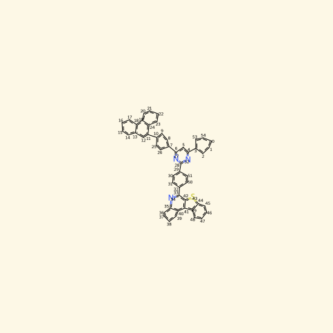 c1ccc(-c2cc(-c3ccc(-c4cc5ccccc5c5ccccc45)cc3)nc(-c3ccc(-c4nc5ccccc5c5c4sc4ccccc45)cc3)n2)cc1